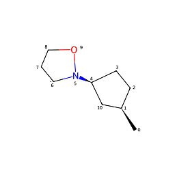 C[C@@H]1CC[C@H](N2[CH]CCO2)C1